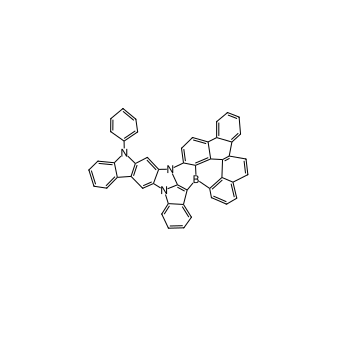 c1ccc(-n2c3ccccc3c3cc4c(cc32)n2c3c(c5ccccc5n43)B3c4cccc5ccc6c7ccccc7c7ccc-2c3c7c6c45)cc1